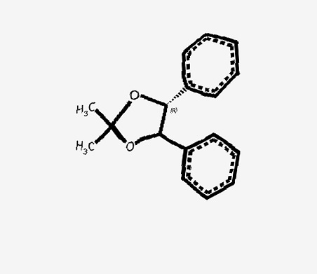 CC1(C)OC(c2ccccc2)[C@@H](c2ccccc2)O1